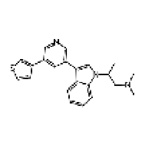 CC(CN(C)C)n1cc(-c2cncc(-c3ccsc3)c2)c2ccccc21